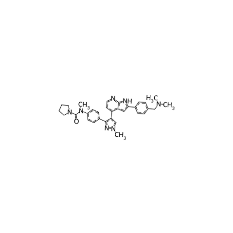 CN(C)Cc1ccc(-c2cc3c(-c4cn(C)nc4-c4ccc(N(C)C(=O)N5CCCC5)cc4)ccnc3[nH]2)cc1